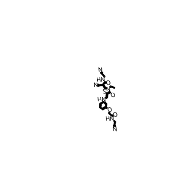 CCn1c(=C(C#N)C(=O)NCC#N)sc(=CNc2cccc(OCC(=O)NCC#N)c2)c1=O